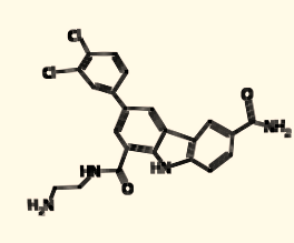 NCCNC(=O)c1cc(-c2ccc(Cl)c(Cl)c2)cc2c1[nH]c1ccc(C(N)=O)cc12